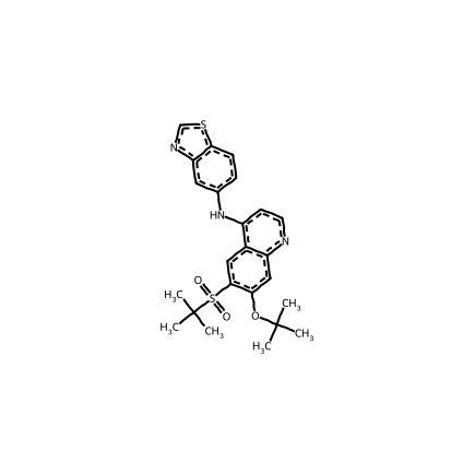 CC(C)(C)Oc1cc2nccc(Nc3ccc4scnc4c3)c2cc1S(=O)(=O)C(C)(C)C